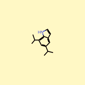 CC(C)c1cc(C(C)C)c2[nH]ccc2c1